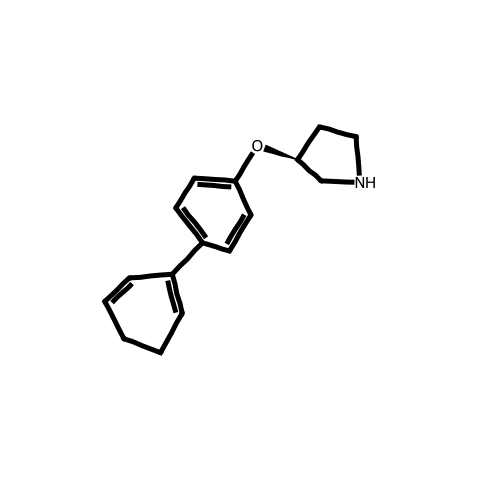 C1=CC(c2ccc(O[C@H]3CCNC3)cc2)=CCC1